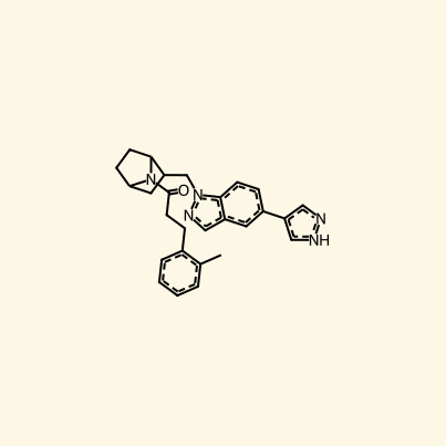 Cc1ccccc1CCC(=O)N1C2CCC1C(Cn1ncc3cc(-c4cn[nH]c4)ccc31)C2